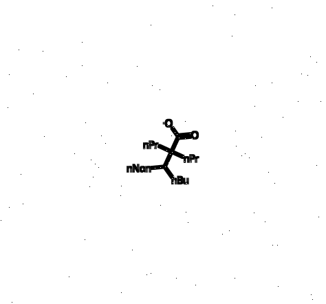 CCCCCCCCCC(CCCC)C(CCC)(CCC)C([O])=O